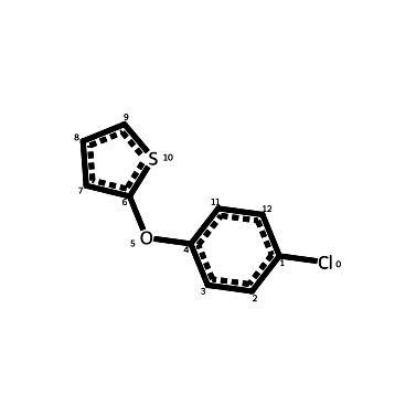 Clc1ccc(Oc2cccs2)cc1